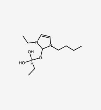 CCCCN1C=CN(CC)C1O[PH](O)(O)CC